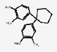 COc1ccc(C2(c3ccc(OC(C)=O)c(C)c3)CCCCC2)cc1C